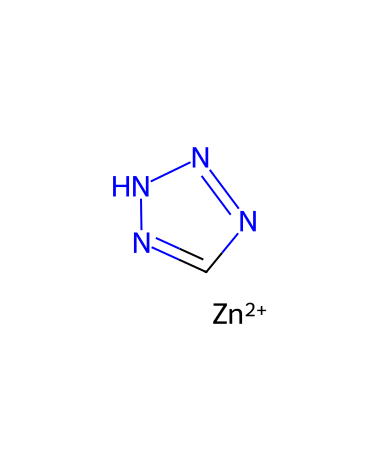 [Zn+2].c1nn[nH]n1